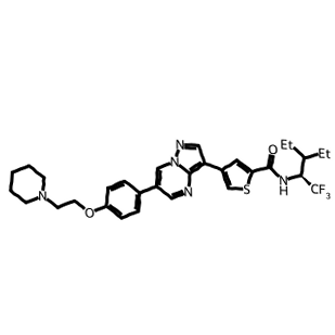 CCC(CC)[C@H](NC(=O)c1cc(-c2cnn3cc(-c4ccc(OCCN5CCCCC5)cc4)cnc23)cs1)C(F)(F)F